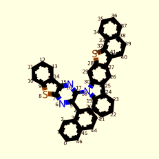 c1ccc2c(-c3nc4sc5ccccc5c4nc3-n3c4ccccc4c4cc5c(cc43)sc3c4ccccc4ccc53)cccc2c1